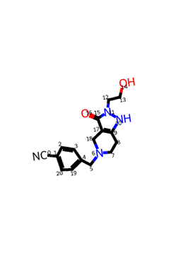 N#Cc1ccc(CN2CCc3[nH]n(CCO)c(=O)c3C2)cc1